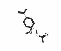 C=C(C)[C@@H]1C=C[C@@](COC(C)=O)(OC)CC1